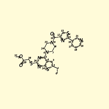 CCc1cc2c(N3CCN(C(=O)c4csc(-c5cccnc5)n4)CC3)nc(SCC(=O)OC)nc2s1